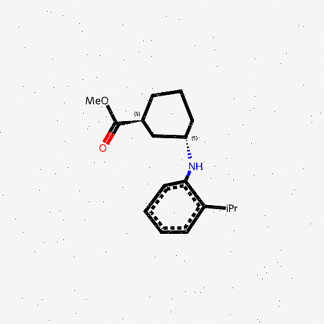 COC(=O)[C@H]1CCC[C@H](Nc2ccccc2C(C)C)C1